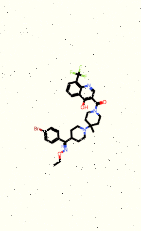 CCO/N=C(\c1ccc(Br)cc1)C1CCN(C2(C)CCN(C(=O)c3cnc4c(C(F)(F)F)cccc4c3O)CC2)CC1